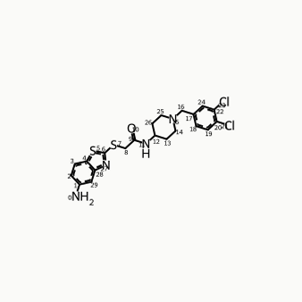 Nc1ccc2sc(SCC(=O)NC3CCN(Cc4ccc(Cl)c(Cl)c4)CC3)nc2c1